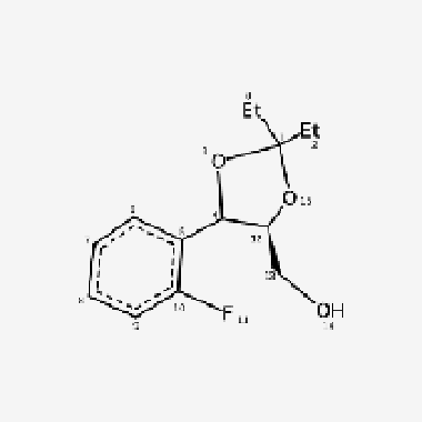 CCC1(CC)OC(c2ccccc2F)[C@H](CO)O1